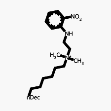 CCCCCCCCCCCCCCCC[N+](C)(C)CCNc1ccccc1[N+](=O)[O-]